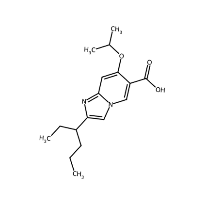 CCCC(CC)c1cn2cc(C(=O)O)c(OC(C)C)cc2n1